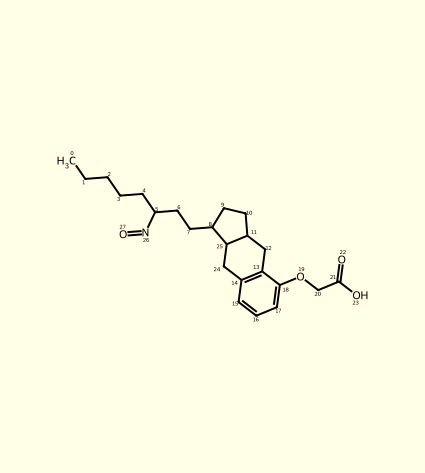 CCCCCC(CCC1CCC2Cc3c(cccc3OCC(=O)O)CC12)N=O